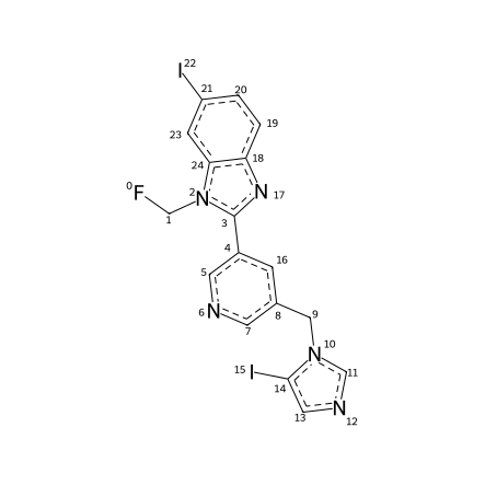 FCn1c(-c2cncc(Cn3cncc3I)c2)nc2ccc(I)cc21